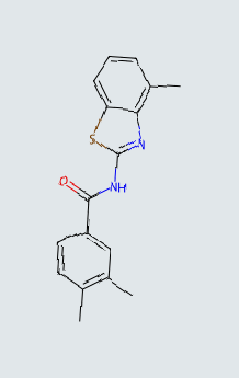 Cc1ccc(C(=O)Nc2nc3c(C)cccc3s2)cc1C